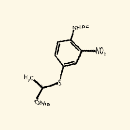 COC(C)Sc1ccc(NC(C)=O)c([N+](=O)[O-])c1